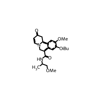 COCC(C)NC(=O)C1=c2cc(OCC(C)C)c(OC)cc2=C2CC(=O)C=CN2C1